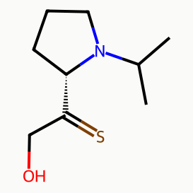 CC(C)N1CCC[C@H]1C(=S)CO